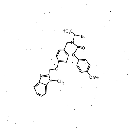 CCC(C(=O)O)N(Cc1ccc(OCc2nc3ccccc3n2C)cc1)C(=O)Oc1ccc(OC)cc1